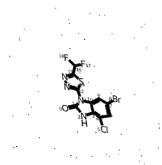 O=c1[nH]c2c(Cl)cc(Br)cc2n1-c1nnc(C(F)F)s1